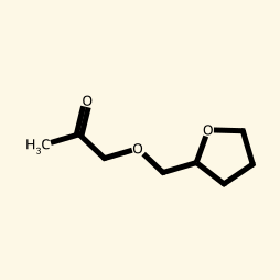 CC(=O)COCC1CCCO1